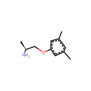 Cc1cc(C)cc(OC[C@H](C)N)c1